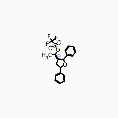 C/C(OS(=O)(=O)C(F)(F)F)=C1\CC(c2ccccc2)OC1c1ccccc1